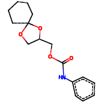 O=C(Nc1ccccc1)OCC1COC2(CCCCC2)O1